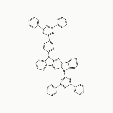 c1ccc(-c2cc(-c3ccc(-n4c5ccccc5c5cc6c(cc54)c4ccccc4n6-c4nc(-c5ccccc5)nc(-c5ccccc5)n4)cc3)nc(-c3ccccc3)n2)cc1